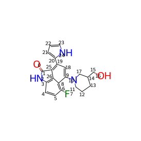 O=C1Nc2ccc(F)c3c(N4CCCC(CO)C4)cc(-c4ccc[nH]4)c1c23